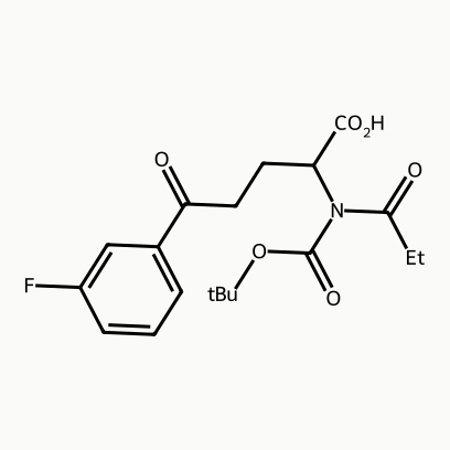 CCC(=O)N(C(=O)OC(C)(C)C)C(CCC(=O)c1cccc(F)c1)C(=O)O